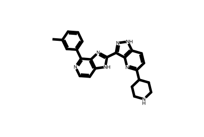 Cc1cccc(-c2nccc3[nH]c(-c4n[nH]c5ccc(C6CCNCC6)nc45)nc23)c1